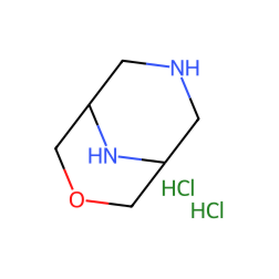 C1NCC2COCC1N2.Cl.Cl